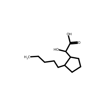 CCCCCC1CCCC1C(O)C(=O)O